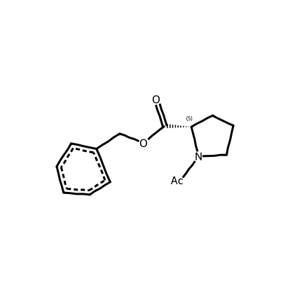 CC(=O)N1CCC[C@H]1C(=O)OCc1ccccc1